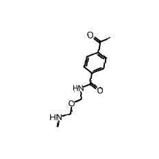 CNCOCNC(=O)c1ccc(C(C)=O)cc1